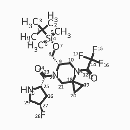 CC(C)(C)[Si](C)(C)OC[C@@H]1CN(C(=O)C(F)(F)F)C2(CC2)CN1C(=O)[C@@H]1C[C@@H](F)CN1